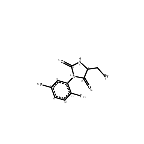 CC(C)CC1NC(=O)N(c2cc(F)ccc2F)C1=O